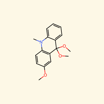 COc1ccc2c(c1)C(OC)(OC)c1ccccc1N2C